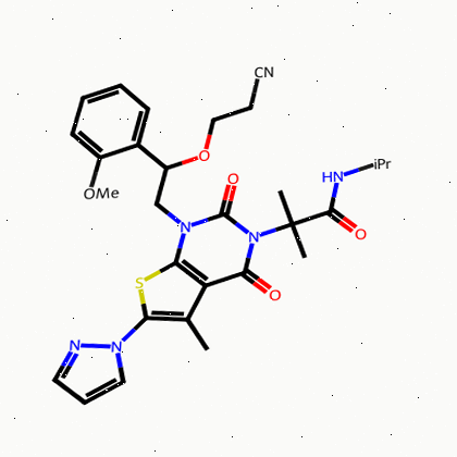 COc1ccccc1C(Cn1c(=O)n(C(C)(C)C(=O)NC(C)C)c(=O)c2c(C)c(-n3cccn3)sc21)OCCC#N